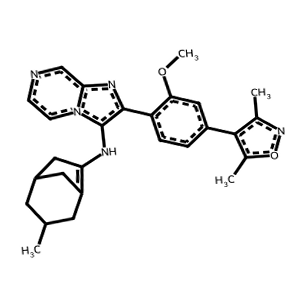 COc1cc(-c2c(C)noc2C)ccc1-c1nc2cnccn2c1NC1=C2CC(C)CC(C2)C1